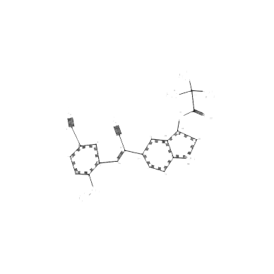 COc1ccc(C#N)cc1/C=C(\C#N)c1ccc2[nH]cc(OC(=O)C(C)(C)C)c2c1